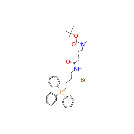 CN(CCCC(=O)NCCCC[P+](c1ccccc1)(c1ccccc1)c1ccccc1)C(=O)OC(C)(C)C.[Br-]